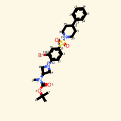 CN(C(=O)OC(C)(C)C)C1CN(c2ccc(S(=O)(=O)N3CCC(c4ccccc4)CC3)cc2Br)C1